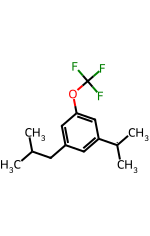 C[C](C)c1cc(CC(C)C)cc(OC(F)(F)F)c1